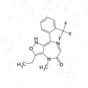 CCC1=C2C(=C(c3ccccc3C(F)(F)F)N=CC(=O)N2C)NO1